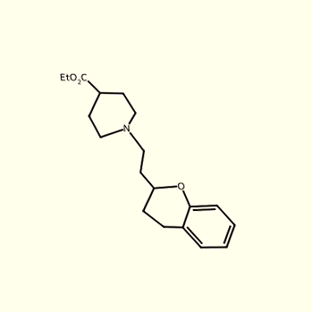 CCOC(=O)C1CCN(CCC2CCc3ccccc3O2)CC1